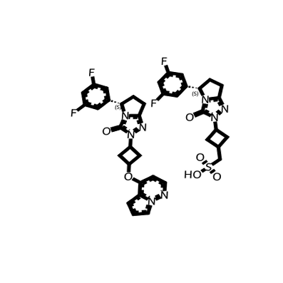 O=c1n(C2CC(CS(=O)(=O)O)C2)nc2n1[C@H](c1cc(F)cc(F)c1)CC2.O=c1n(C2CC(Oc3ccnn4cccc34)C2)nc2n1[C@H](c1cc(F)cc(F)c1)CC2